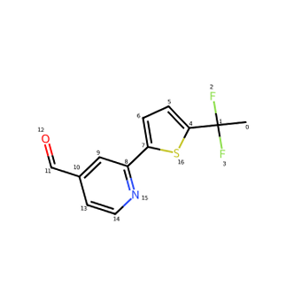 CC(F)(F)c1ccc(-c2cc(C=O)ccn2)s1